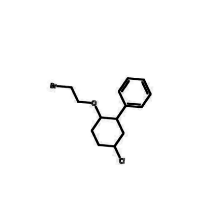 ClC1CCC(OCCBr)C(c2ccccc2)C1